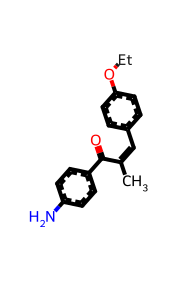 CCOc1ccc(/C=C(/C)C(=O)c2ccc(N)cc2)cc1